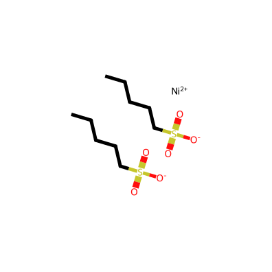 CCCCCS(=O)(=O)[O-].CCCCCS(=O)(=O)[O-].[Ni+2]